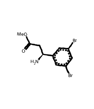 COC(=O)C[C@H](N)c1cc(Br)cc(Br)c1